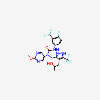 COc1ncc(N(Cc2n[nH]c(C(F)(F)F)c2CC(C)O)C(=O)Nc2ccc(F)c(C(F)F)c2)cn1